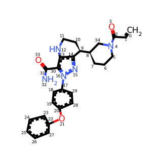 C=CC(=O)N1CCC[C@@H]([C@@H]2CCNc3c2nn(-c2ccc(Oc4ccccc4)cc2)c3C(N)=O)C1